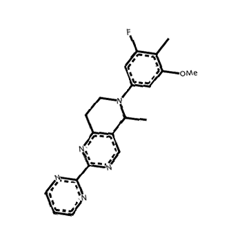 COc1cc(N2CCc3nc(-c4ncccn4)ncc3C2C)cc(F)c1C